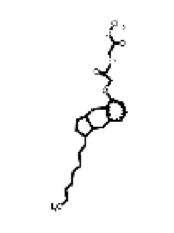 CCCCCCCCC1CCC2Cc3c(cccc3OCC(=O)OCC(=O)OC)CC12